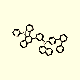 c1ccc(-c2ccccc2-c2ccc(N(c3cccc(-c4cc5ccccc5c5c4c4ccccc4n5-c4ccccc4)c3)c3cccc4ccccc34)cc2)cc1